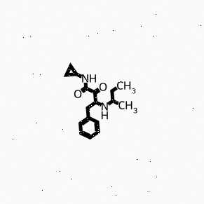 CCC(C)NC(Cc1ccccc1)C(=O)C(=O)NC1CC1